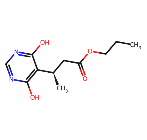 CCCOC(=O)C[C@@H](C)c1c(O)ncnc1O